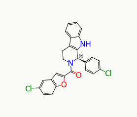 O=C(c1cc2cc(Cl)ccc2o1)N1CCc2c([nH]c3ccccc23)[C@H]1c1ccc(Cl)cc1